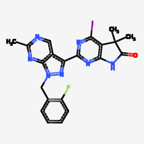 Cc1ncc2c(-c3nc(I)c4c(n3)NC(=O)C4(C)C)nn(Cc3ccccc3F)c2n1